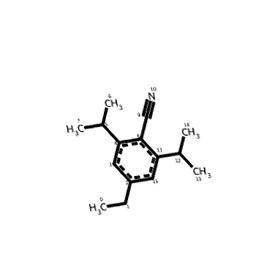 CCc1cc(C(C)C)c(C#N)c(C(C)C)c1